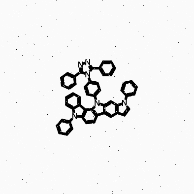 c1ccc(-c2nnc(-c3ccccc3)n2-c2ccc(-n3c4cc5c(ccn5-c5ccccc5)cc4c4ccc5c(c6ccccc6n5-c5ccccc5)c43)cc2)cc1